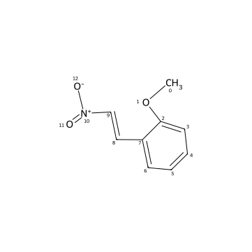 COc1ccccc1C=C[N+](=O)[O-]